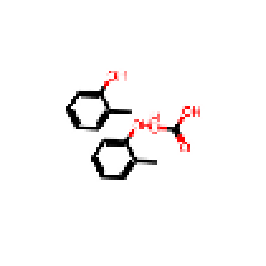 Cc1ccccc1O.Cc1ccccc1O.O=C(O)O